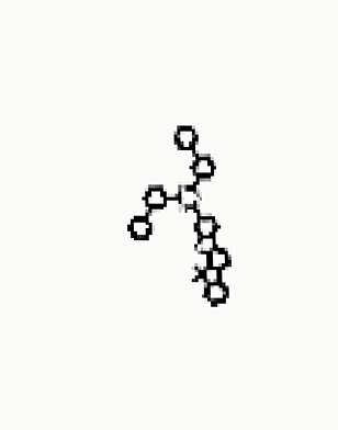 CC1(C)c2ccccc2-c2ccc3c(oc4cc(-c5nc(-c6cccc(-c7ccccc7)c6)nc(-c6cccc(-c7ccccc7)c6)n5)ccc43)c21